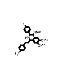 CNC(=O)C(NC(CCc1ccc(C(F)(F)F)cc1)c1ccc(OC)c(OC)c1)c1ccc(F)cc1